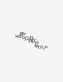 CCC(CC)(c1ccc(OCC(O)C(C)(C)C)c(C)c1)c1cc(C)c(C(=O)CN(C)CC(=O)O)s1